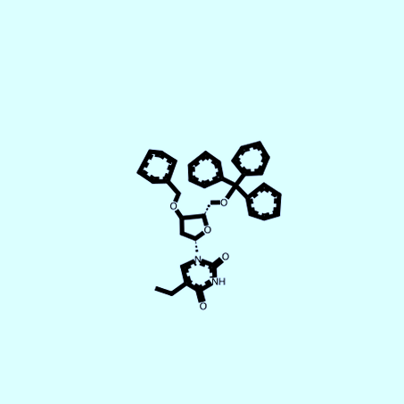 CCc1cn([C@@H]2CC(OCc3ccccc3)[C@H](COC(c3ccccc3)(c3ccccc3)c3ccccc3)O2)c(=O)[nH]c1=O